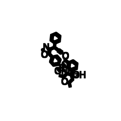 CC1CC(O)(c2cccc(COC#CC(c3ccccc3)c3ncoc3-c3ccc(S(N)(=O)=O)cc3)c2)CC(C)O1